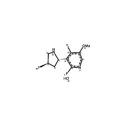 COc1cnc(F)c([C@@H]2C[C@@H](F)CN2)c1I.Cl